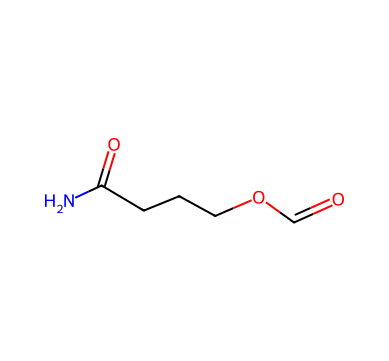 NC(=O)CCCOC=O